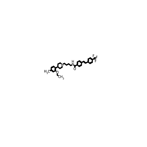 CCOc1cc(C)ccc1C1CCN(CCCCNC(=O)c2ccc(C=Cc3ccc(C(F)(F)F)cc3)cc2)CC1